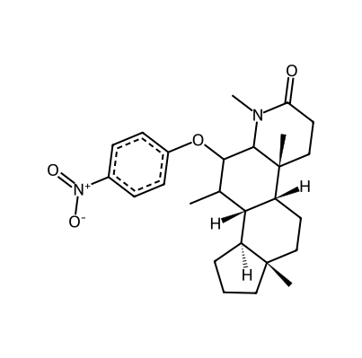 CC1C(Oc2ccc([N+](=O)[O-])cc2)C2N(C)C(=O)CC[C@]2(C)[C@@H]2CC[C@]3(C)CCC[C@H]3[C@H]12